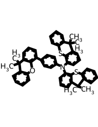 CC1(C)c2ccccc2Oc2c(-c3ccc(N(c4cccc5c4Sc4ccccc4C5(C)C)c4cccc5c4Sc4ccccc4C5(C)C)cc3)cccc21